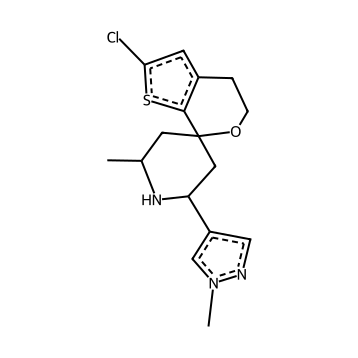 CC1CC2(CC(c3cnn(C)c3)N1)OCCc1cc(Cl)sc12